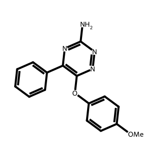 COc1ccc(Oc2nnc(N)nc2-c2ccccc2)cc1